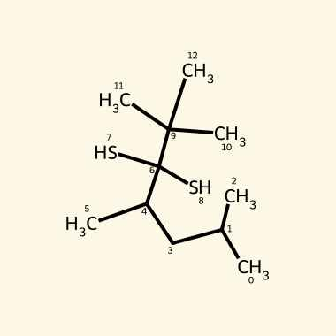 CC(C)CC(C)C(S)(S)C(C)(C)C